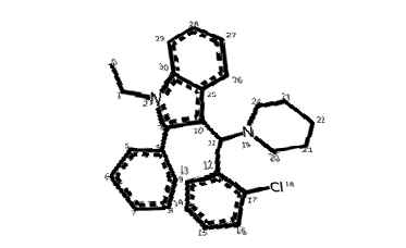 CCn1c(-c2ccccc2)c(C(c2ccccc2Cl)N2CCCCC2)c2ccccc21